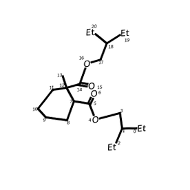 CCC(CC)COC(=O)C1CCCCC1(C)C(=O)OCC(CC)CC